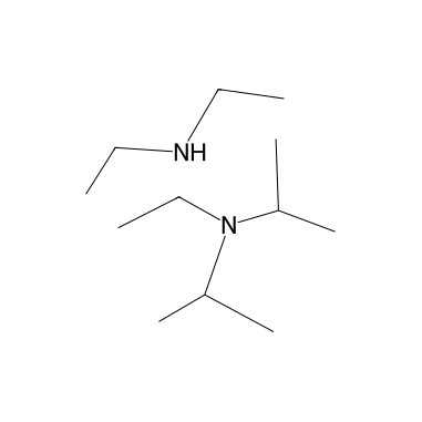 CCN(C(C)C)C(C)C.CCNCC